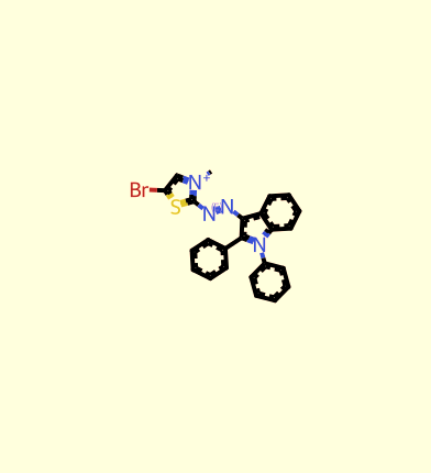 C[n+]1cc(Br)sc1/N=N/c1c(-c2ccccc2)n(-c2ccccc2)c2ccccc12